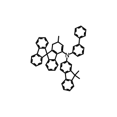 CC1C=C(N(c2cccc(-c3ccccc3)c2)c2ccc3c(c2)C(C)(C)c2ccccc2-3)C2=C(C1)C1(c3ccccc32)c2ccccc2-c2ccccc21